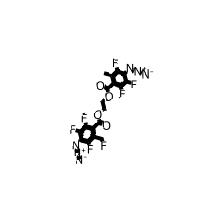 Cc1c(F)c(N=[N+]=[N-])c(F)c(F)c1C(=O)OCCOC(=O)c1c(F)c(F)c(N=[N+]=[N-])c(F)c1CF